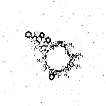 CC(C)C[C@H]1C(=O)N(C)[C@@H](CC(C)C)C(=O)N[C@@H]([C@@H](C)O)C(=O)N(C)[C@@H](C)C(=O)CN[C@H](C(=O)N(C)[C@@H](Cc2ccccc2)C(=O)N(C)[C@@H](Cc2ccccc2)C(=O)N[C@@H](C)C(=O)N2CCCCC2)CC(=O)N(C)CC(=O)N(C)CC(=O)N(C)[C@@H](Cc2ccccc2)C(=O)N[C@@H](C)C(=O)N1C